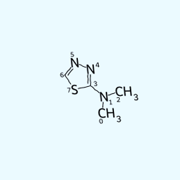 CN(C)c1nncs1